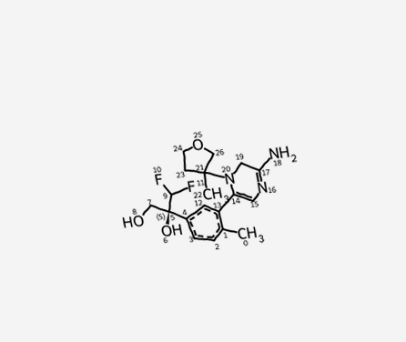 Cc1ccc([C@](O)(CO)C(F)F)cc1C1=CN=C(N)CN1C1(C)CCOC1